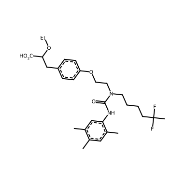 CCOC(Cc1ccc(OCCN(CCCCC(C)(F)F)C(=O)Nc2cc(C)c(C)cc2C)cc1)C(=O)O